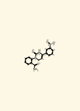 NC(=O)c1ccccc1N1CC=C(c2cccc([N+](=O)[O-])c2)NC1=O